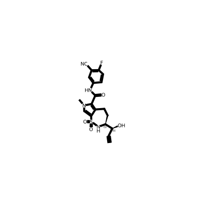 C#C[C@H](O)[C@@H]1CCc2c(cn(C)c2C(=O)Nc2ccc(F)c(C#N)c2)S(=O)(=O)N1